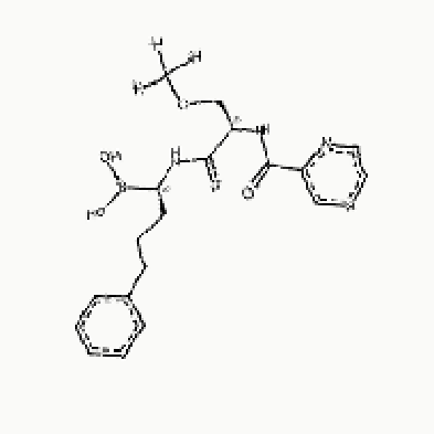 [2H]C([2H])([2H])OC[C@@H](NC(=O)c1cnccn1)C(=O)N[C@@H](CCCc1ccccc1)B(O)O